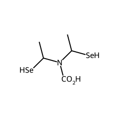 CC([SeH])N(C(=O)O)C(C)[SeH]